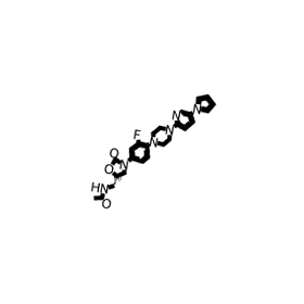 CC(=O)NC[C@H]1CN(c2ccc(N3CCN(c4ccc(-n5cccc5)cn4)CC3)c(F)c2)C(=O)O1